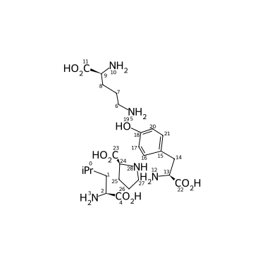 CC(C)C[C@H](N)C(=O)O.NCCC[C@H](N)C(=O)O.N[C@@H](Cc1ccc(O)cc1)C(=O)O.O=C(O)[C@@H]1CCCN1